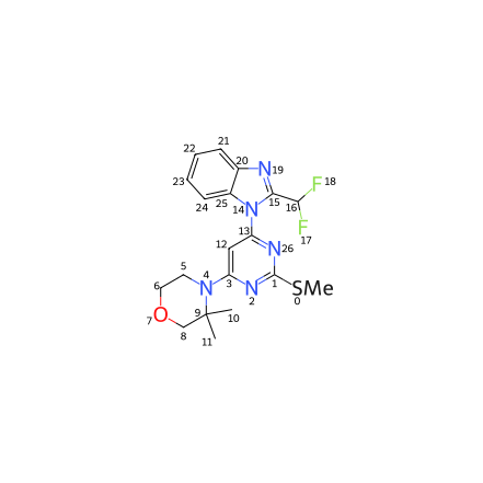 CSc1nc(N2CCOCC2(C)C)cc(-n2c(C(F)F)nc3ccccc32)n1